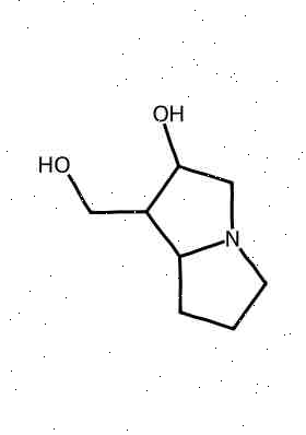 OCC1C(O)CN2CCCC12